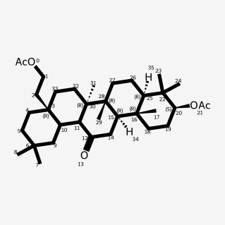 CC(=O)OCC[C@]12CCC(C)(C)CC1C1C(=O)C[C@@H]3[C@@]4(C)CC[C@H](OC(C)=O)C(C)(C)[C@@H]4CC[C@@]3(C)[C@]1(C)CC2